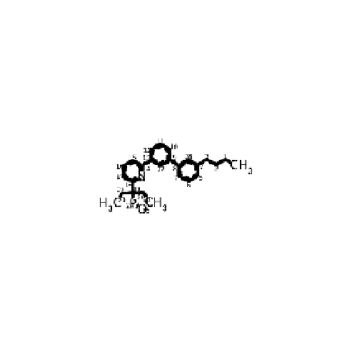 CCCCc1cccc(-c2cccc(-c3cccc(C(CC)(CC)P=O)n3)c2)c1